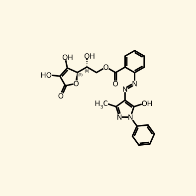 Cc1nn(-c2ccccc2)c(O)c1N=Nc1ccccc1C(=O)OC[C@@H](O)[C@H]1OC(=O)C(O)=C1O